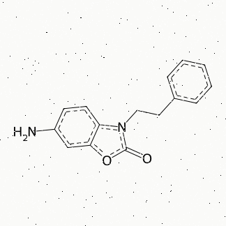 Nc1ccc2c(c1)oc(=O)n2CCc1ccccc1